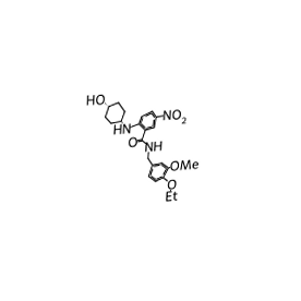 CCOc1ccc(CNC(=O)c2cc([N+](=O)[O-])ccc2N[C@H]2CC[C@@H](O)CC2)cc1OC